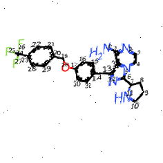 Nc1nccn2c(C3CCCN3)nc(-c3ccc(OCc4ccc(C(F)(F)F)cc4)cc3)c12